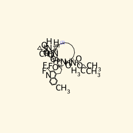 Cc1ccc2nc(C(F)(F)F)c3c(c2c1)CC[C@]1(C[C@H]2C(=O)N[C@]4(C(=O)NS(=O)(=O)C5(C)CC5)C[C@H]4/C=C\CCCCC[C@H](NC(=O)OCC(C)(C)C)C(=O)N2C1)O3